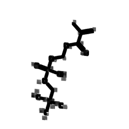 C=C(C)C(=O)OCOP(=O)(O)OC[15N+]([13CH3])([13CH3])[13CH3]